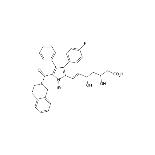 CC(C)n1c(C=CC(O)CC(O)CC(=O)O)c(-c2ccc(F)cc2)c(-c2ccccc2)c1C(=O)N1CCc2ccccc2C1